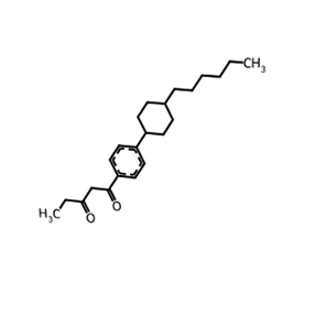 CCCCCCC1CCC(c2ccc(C(=O)CC(=O)CC)cc2)CC1